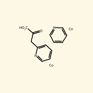 O=C(O)C(=O)Cc1ccccn1.[Co].[Co].c1ccncc1